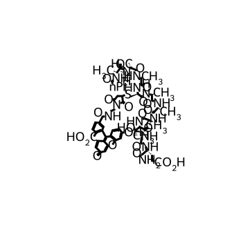 CCCC(=O)N[C@H](C)C(=O)N[C@H](C)C(=O)N[C@H](C)C(=O)N[C@H](CSC1CC(=O)N(CCNC(=O)c2ccc(C(=O)O)c(-c3c4ccc(=O)cc-4oc4cc(O)ccc34)c2)C1=O)C(=O)N[C@H](C)C(=O)N[C@H](C)C(=O)N[C@H](C)C(=O)N[C@@H](C(=O)NCC(=O)N[C@H](CCC(=O)O)C(N)=O)[C@H](C)O